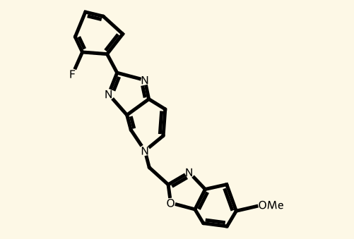 COc1ccc2oc(Cn3ccc4nc(-c5ccccc5F)nc-4c3)nc2c1